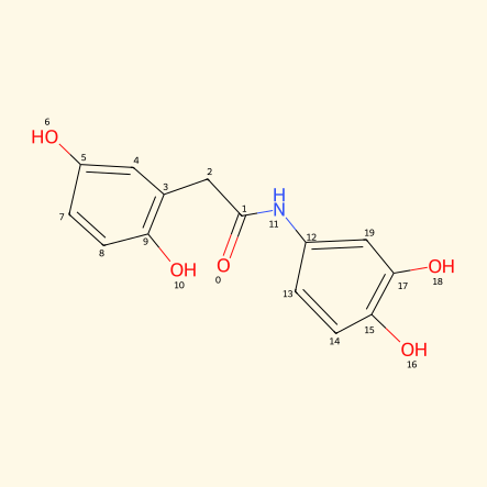 O=C(Cc1cc(O)ccc1O)Nc1ccc(O)c(O)c1